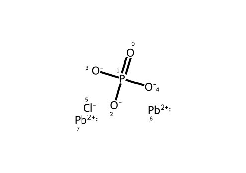 O=P([O-])([O-])[O-].[Cl-].[Pb+2].[Pb+2]